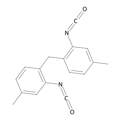 Cc1ccc(Cc2ccc(C)cc2N=C=O)c(N=C=O)c1